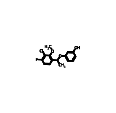 COc1c(C(C)Oc2c[c]cc(O)c2)ccc(F)c1Cl